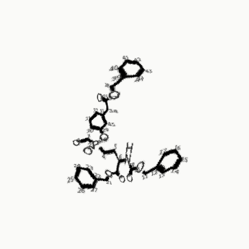 O=CP(=O)(CC[C@@H](NC(=O)OCc1ccccc1)C(=O)OCc1ccccc1)Oc1cccc(CC(=O)OCc2ccccc2)c1